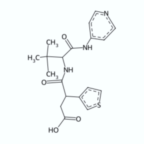 CC(C)(C)C(NC(=O)C(CC(=O)O)c1ccsc1)C(=O)Nc1ccncc1